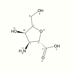 N[C@@H]1[C@@H](C(=O)O)OC(CO)[C@@H]1O